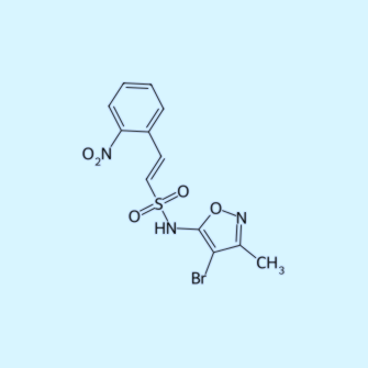 Cc1noc(NS(=O)(=O)C=Cc2ccccc2[N+](=O)[O-])c1Br